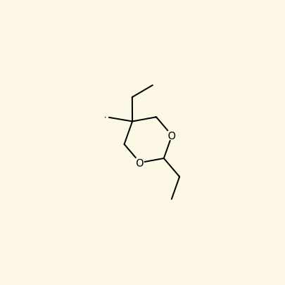 [CH2]C1(CC)COC(CC)OC1